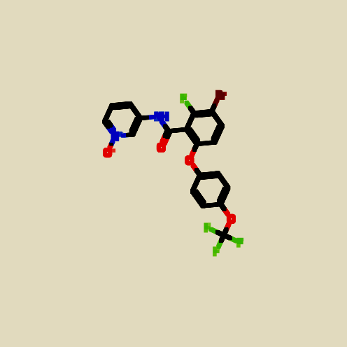 O=C(Nc1ccc[n+]([O-])c1)c1c(Oc2ccc(OC(F)(F)F)cc2)ccc(Br)c1F